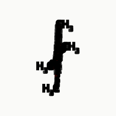 CCCCCCCCCCCCCCCCc1cc(-c2cc3sc(-c4cc(CCCCCCCCCCCCCCCC)c(-c5ccc(C)s5)s4)cc3s2)sc1-c1ccc(C)s1